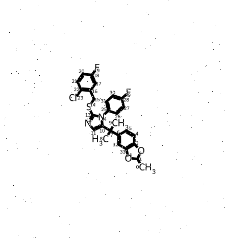 CC1Oc2ccc(C(C)(C)c3cnc(SCc4cc(F)ccc4Cl)n3-c3ccc(F)cc3)cc2O1